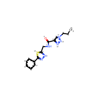 O=C(NCc1nnc(-c2ccccc2)s1)c1cn(CCC(F)(F)F)nn1